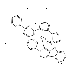 CC1(C)c2ccccc2-c2ccc3c4ccccc4n(-c4cccc(-c5cccc(-c6cccc(-c7ccccc7)c6)c5)c4)c3c21